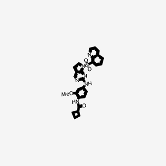 COc1cc(Nc2ncc3ccn(S(=O)(=O)c4cccc5cccnc45)c3n2)ccc1NC(=O)C1CCC1